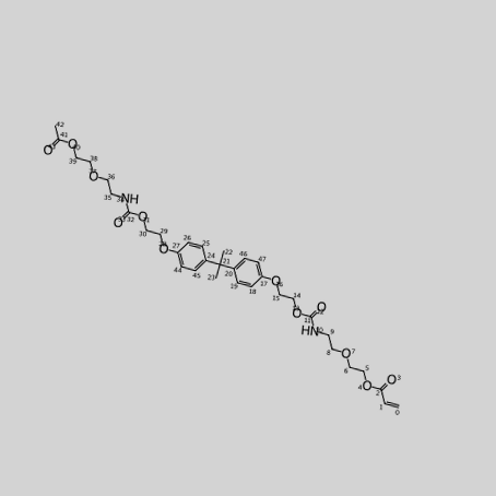 C=CC(=O)OCCOCCNC(=O)OCCOc1ccc(C(C)(C)c2ccc(OCCOC(=O)NCCOCCOC(C)=O)cc2)cc1